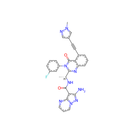 C[C@@H](NC(=O)c1c(N)nn2cccnc12)c1nc2cccc(C#Cc3cnn(C)c3)c2c(=O)n1-c1cccc(F)c1